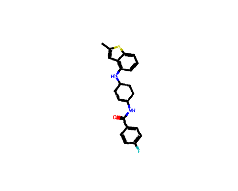 Cc1cc2c(NC3CCC(NC(=O)c4ccc(F)cc4)CC3)cccc2s1